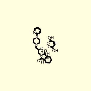 O=C(O)/C=C\C(=O)O.O=C1[C@H]2CCCC[C@H]2C(=O)N1CC(O)CN1CCN(c2ccccn2)CC1